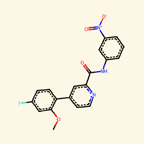 COc1cc(F)ccc1-c1ccnc(C(=O)Nc2cccc([N+](=O)[O-])c2)c1